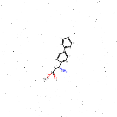 CC(C)(C)OC(=O)C[C@H](N)c1ccc(-c2ccccc2)cc1